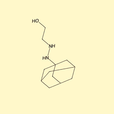 OCCNNC12CC3CC(CC(C3)C1)C2